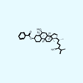 CC(C)C(O)CC[C@@H](C)[C@H]1CC[C@H]2[C@@H]3C[C@H](O)[C@@H]4C[C@H](OC(=O)c5ccccc5)CC[C@]4(C)[C@H]3CC[C@]12C